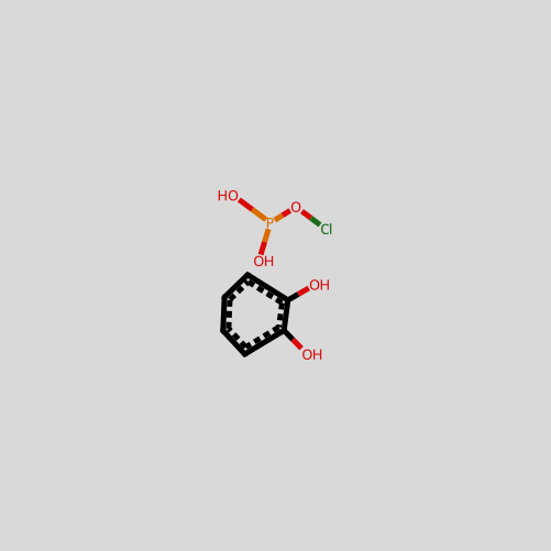 OP(O)OCl.Oc1ccccc1O